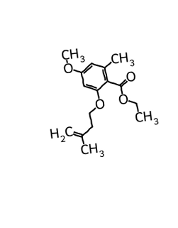 C=C(C)CCOc1cc(OC)cc(C)c1C(=O)OCC